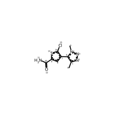 Cc1nnn(C)c1-c1cc(C(N)=O)sc1Cl